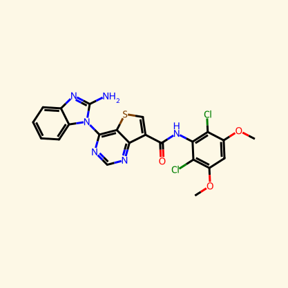 COc1cc(OC)c(Cl)c(NC(=O)c2csc3c(-n4c(N)nc5ccccc54)ncnc23)c1Cl